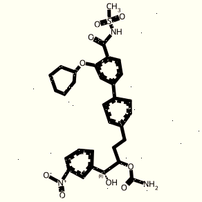 CS(=O)(=O)NC(=O)c1ccc(-c2ccc(CCC(OC(N)=O)[C@H](O)c3cccc([N+](=O)[O-])c3)cc2)cc1OC1CCCCC1